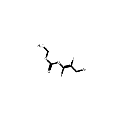 CCOC(=O)OC(I)=C(I)CBr